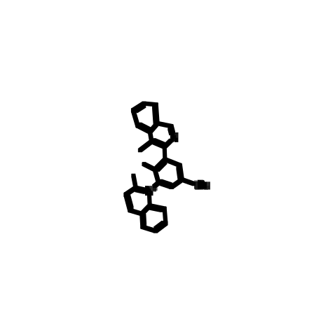 Cc1c(-c2ncc3ccccc3c2C)cc(C(C)(C)C)cc1-[n+]1c(C)ccc2ccccc21